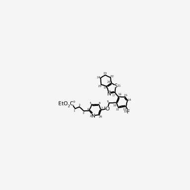 CCOC(=O)CCCc1ccc(OCc2cc(F)ccc2-c2nc3c(s2)CCCC3)cn1